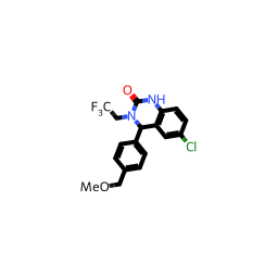 COCc1ccc(C2c3cc(Cl)ccc3NC(=O)N2CC(F)(F)F)cc1